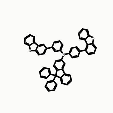 c1ccc(C2(c3ccccc3)c3ccccc3-c3cc(N(c4ccc(-c5cccc6sc7ccccc7c56)cc4)c4cccc(-c5ccc6sc7ccccc7c6c5)c4)ccc32)cc1